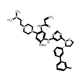 C=CC(=O)Nc1cc(Nc2cc(N3OCC[C@@H]3c3cccc(-c4cccc(F)c4)c3)ncn2)c(OC)cc1N1CCN(CCN(C)C)CC1